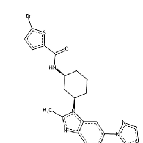 Cc1nc2cnc(-n3nccn3)cc2n1[C@@H]1CCC[C@H](NC(=O)c2ccc(Br)s2)C1